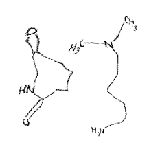 CN(C)CCCN.O=C1CCC(=O)N1